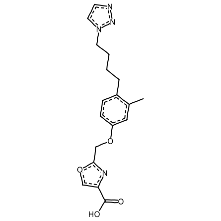 Cc1cc(OCc2nc(C(=O)O)co2)ccc1CCCCn1ccnn1